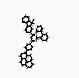 CC1(C)c2ccccc2-c2ccc(-c3cc(-c4ccc(-c5ccc6ccc7cccc8ccc5c6c78)cc4)nc(-c4ccccc4-c4cccnc4)n3)cc21